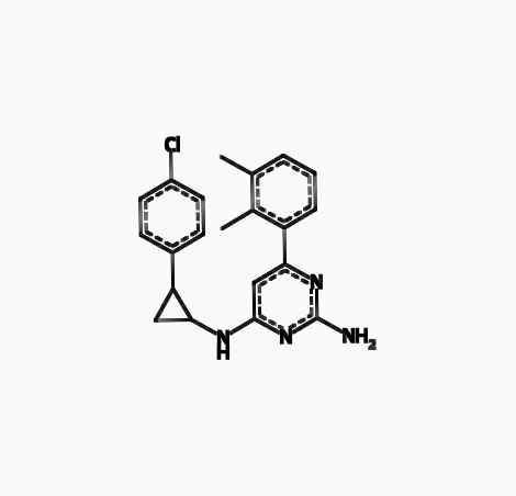 Cc1cccc(-c2cc(NC3CC3c3ccc(Cl)cc3)nc(N)n2)c1C